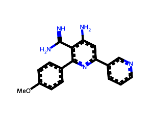 COc1ccc(-c2nc(-c3cccnc3)cc(N)c2C(=N)N)cc1